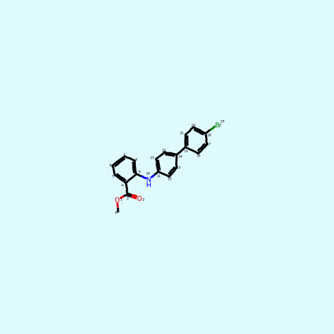 COC(=O)c1ccccc1Nc1ccc(-c2ccc(Br)cc2)cc1